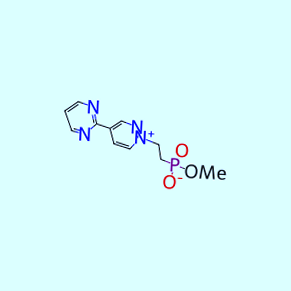 COP(=O)([O-])CC[n+]1ccc(-c2ncccn2)cn1